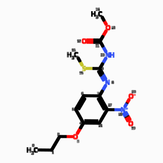 CCCOc1ccc(N=C(NC(=O)OC)SC)c([N+](=O)[O-])c1